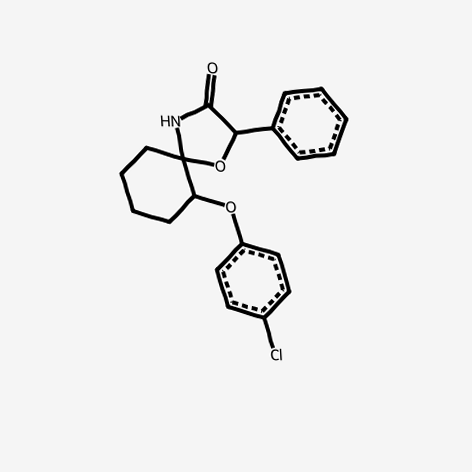 O=C1NC2(CCCCC2Oc2ccc(Cl)cc2)OC1c1ccccc1